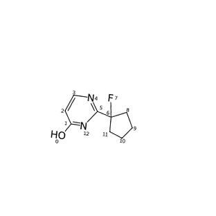 Oc1ccnc(C2(F)CCCC2)n1